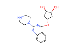 O[C@@H]1C[C@@H](Oc2nc(N3CCNCC3)nc3ccccc23)C[C@@H]1O